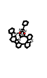 c1ccc(-c2ncnc(-n3c4ccccc4c4ccc5c6cccc7c8cccc9sc%10cccc(c%11ccccc%11n(c76)c5c43)c%10c98)n2)cc1